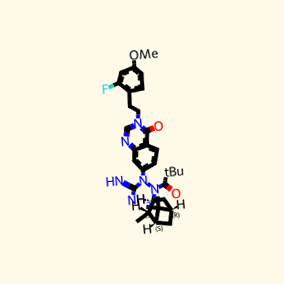 COc1ccc(CCn2cnc3cc(N(C(=N)N)N(C(=O)C(C)(C)C)[C@H]4C[C@H]5C[C@@H]([C@@H]4C)C5(C)C)ccc3c2=O)c(F)c1